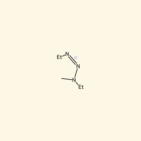 CC/N=N\N(C)CC